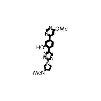 CNC1CCN(c2ncc(-c3ccc(-c4cc(OC)ncn4)cc3O)nn2)C1